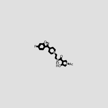 CCN(CCN1CCC(c2noc3cc(F)ccc23)CC1)C(=O)C1CN(C(C)=O)CC1O